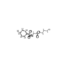 CCCCOC(=O)C=NS(=O)(=O)c1ccc(C)cc1